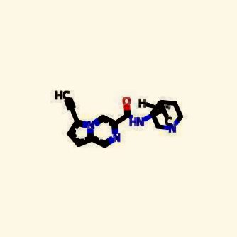 C#Cc1ccc2cnc(C(=O)N[C@H]3CN4CCC3CC4)cn12